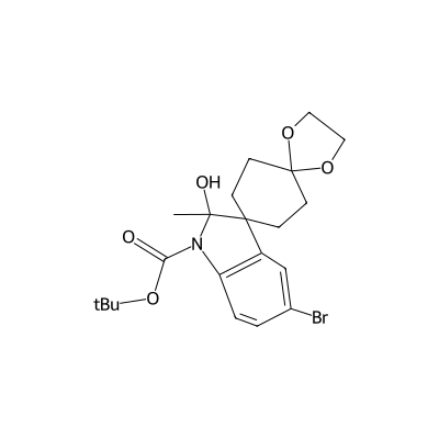 CC(C)(C)OC(=O)N1c2ccc(Br)cc2C2(CCC3(CC2)OCCO3)C1(C)O